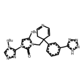 CCCCc1cn(-c2nncn2CCCC)c(=O)n1CC1(c2cccc(-c3nnn[nH]3)c2)C=CN=CC1